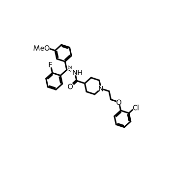 COc1cccc([C@H](NC(=O)C2CCN(CCOc3ccccc3Cl)CC2)c2ccccc2F)c1